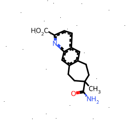 CC1(C(N)=O)CCc2cc3ccc(C(=O)O)nc3cc2CC1